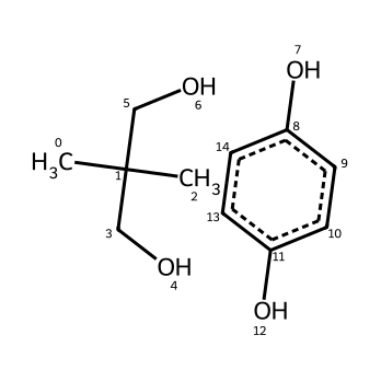 CC(C)(CO)CO.Oc1ccc(O)cc1